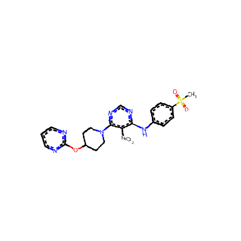 CS(=O)(=O)c1ccc(Nc2ncnc(N3CCC(Oc4ncccn4)CC3)c2[N+](=O)[O-])cc1